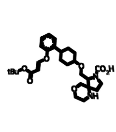 CC(C)(C)OC(=O)C=COc1ccccc1C1CCC(OCC2N(C(=O)O)CCC23COCCN3)CC1